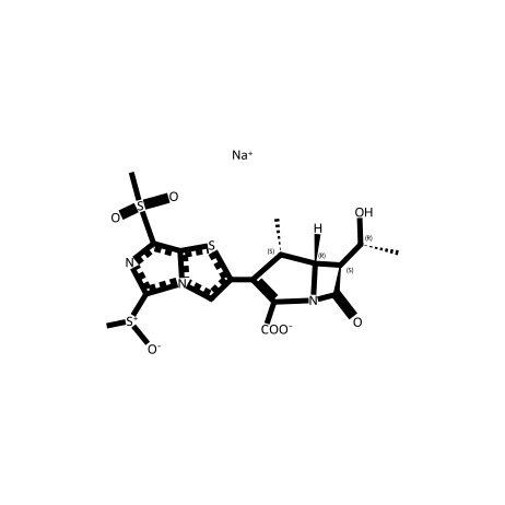 C[C@@H](O)[C@H]1C(=O)N2C(C(=O)[O-])=C(c3cn4c([S+](C)[O-])nc(S(C)(=O)=O)c4s3)[C@H](C)[C@H]12.[Na+]